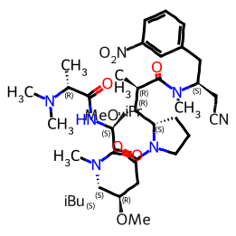 CC[C@H](C)[C@@H]([C@@H](CC(=O)N1CCC[C@H]1[C@H](OC)[C@@H](C)C(=O)N(C)[C@H](CC#N)Cc1cccc([N+](=O)[O-])c1)OC)N(C)C(=O)[C@@H](NC(=O)[C@@H](C)N(C)C)C(C)C